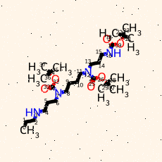 CCCNCCCN(CCCCN(CCCNC(=O)OC(C)(C)C)C(=O)OC(C)(C)C)C(=O)OC(C)(C)C